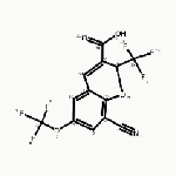 N#Cc1cc(OC(F)(F)F)cc2c1OC(C(F)(F)F)C(C(=O)O)=C2